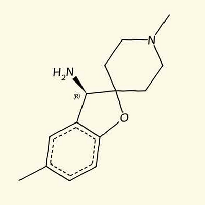 Cc1ccc2c(c1)[C@@H](N)C1(CCN(C)CC1)O2